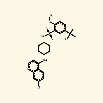 CCCCOc1ccc(C(C)(C)CC)cc1S(=O)(=O)N[C@H]1CC[C@@H](Nc2ccnc3cc(Cl)ccc23)CC1